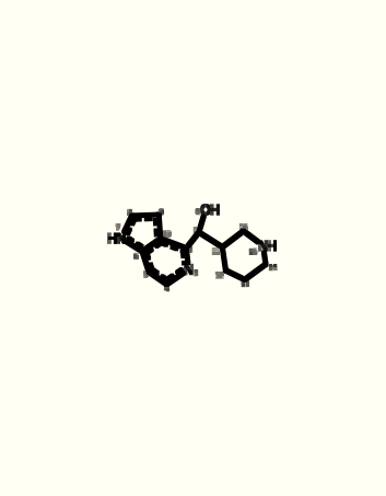 OC(c1nccc2[nH]ccc12)C1CCCNC1